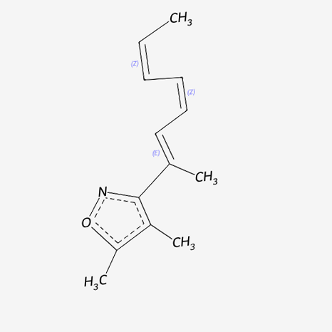 C\C=C/C=C\C=C(/C)c1noc(C)c1C